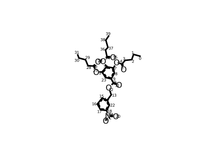 CCCCC(=O)Oc1cc(C(=O)OCc2cccc([N+](=O)[O-])c2)cc(OC(=O)CCCC)c1OC(=O)CCCC